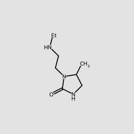 CCNCCN1C(=O)NCC1C